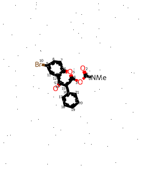 CNC(=O)Oc1oc2ccc(Br)cc2c(=O)c1-c1ccccc1